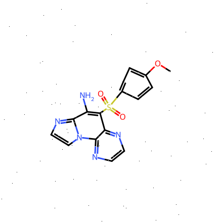 COc1ccc(S(=O)(=O)c2c(N)c3nccn3c3nccnc23)cc1